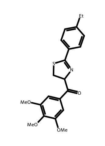 CCc1ccc(C2=NC(C(=O)c3cc(OC)c(OC)c(OC)c3)CS2)cc1